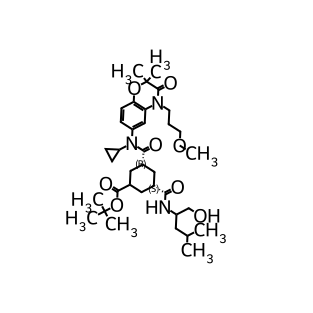 COCCCN1C(=O)C(C)(C)Oc2ccc(N(C(=O)[C@H]3CC(C(=O)OC(C)(C)C)C[C@@H](C(=O)NC(CO)CC(C)C)C3)C3CC3)cc21